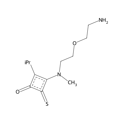 CC(C)c1c(N(C)CCOCCN)c(=S)c1=O